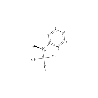 C[C@@H](c1ccccn1)C(F)(F)F